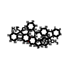 CC1(C)c2ccccc2-c2ccc(N(c3ccccc3-c3cccc4c3C(C)(C)c3ccccc3-4)c3cccc4sc5ccccc5c34)cc21